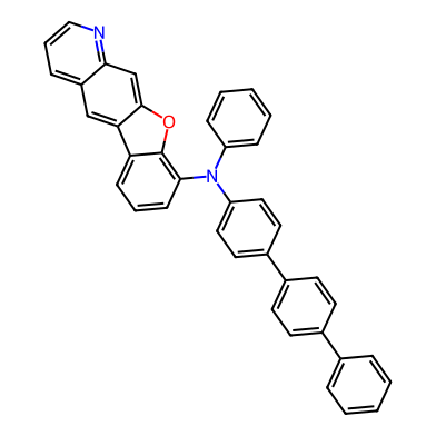 c1ccc(-c2ccc(-c3ccc(N(c4ccccc4)c4cccc5c4oc4cc6ncccc6cc45)cc3)cc2)cc1